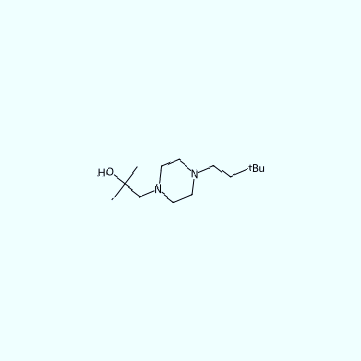 CC(C)(C)CCN1CCN(CC(C)(C)O)CC1